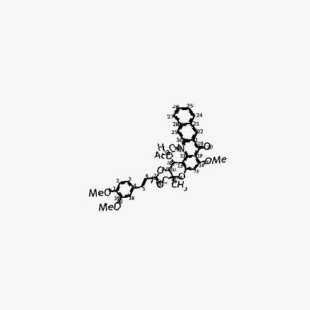 COc1ccc(C=CC(=O)O[C@H]2[C@@H](OC(C)=O)c3c(cc(OC)c4c(=O)c5cc6ccccc6cc5n(C)c34)OC2(C)C)cc1OC